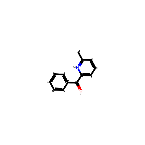 [CH2]c1cccc(C(=O)c2ccccc2)n1